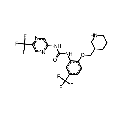 O=C(Nc1cnc(C(F)(F)F)cn1)Nc1cc(C(F)(F)F)ccc1OCC1CCCNC1